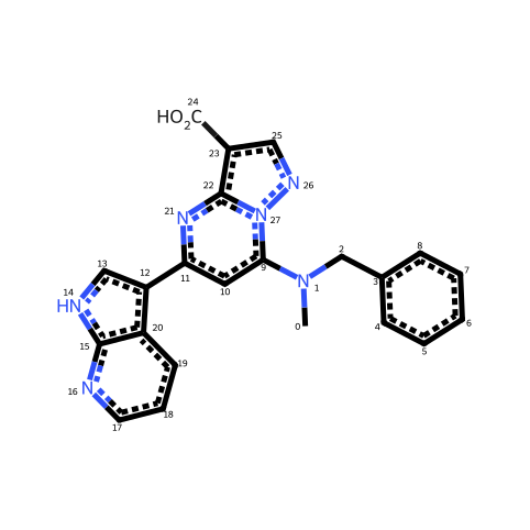 CN(Cc1ccccc1)c1cc(-c2c[nH]c3ncccc23)nc2c(C(=O)O)cnn12